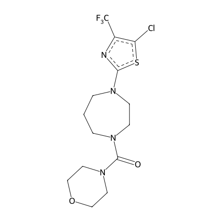 O=C(N1CCOCC1)N1CCCN(c2nc(C(F)(F)F)c(Cl)s2)CC1